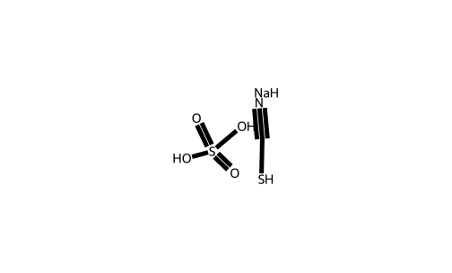 N#CS.O=S(=O)(O)O.[NaH]